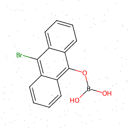 OB(O)Oc1c2ccccc2c(Br)c2ccccc12